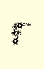 COc1ccc(S(=O)(=O)OCC2(NC(=O)OCc3ccccc3)CC2)cc1